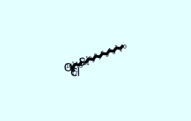 CCCCCCCCCCCCSCCC(=O)Cl